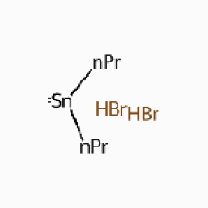 Br.Br.CC[CH2][Sn][CH2]CC